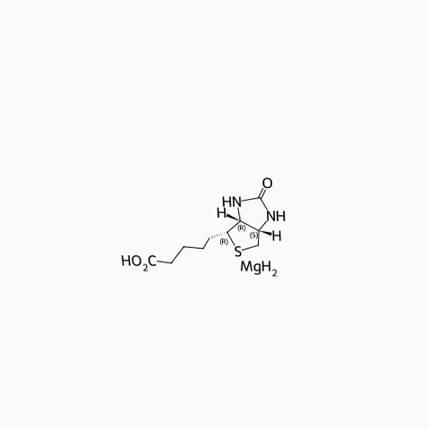 O=C(O)CCCC[C@H]1SC[C@H]2NC(=O)N[C@H]21.[MgH2]